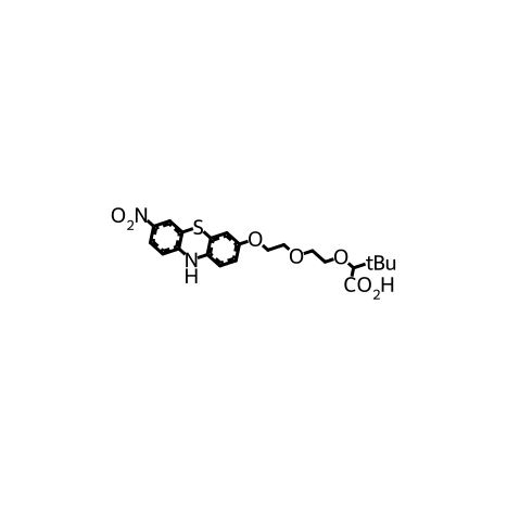 CC(C)(C)C(OCCOCCOc1ccc2c(c1)Sc1cc([N+](=O)[O-])ccc1N2)C(=O)O